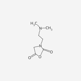 CN(C)CCN1CC(=O)OC1=O